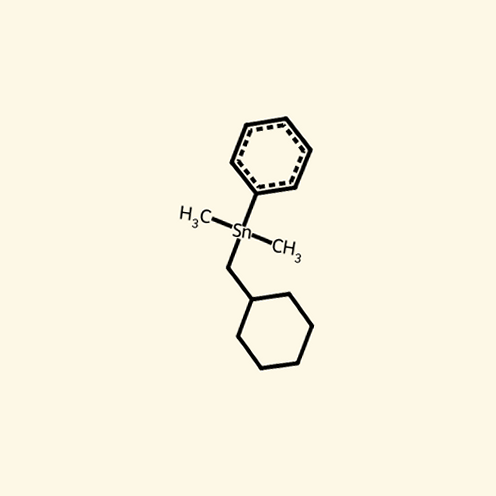 [CH3][Sn]([CH3])([CH2]C1CCCCC1)[c]1ccccc1